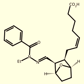 CCN(N=C[C@H]1[C@@H](C/C=C\CCCC(=O)O)[C@H]2CC[C@@H]1O2)C(=O)c1ccccc1